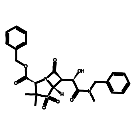 CN(Cc1ccccc1)C(=O)[C@@H](O)[C@@H]1C(=O)N2[C@@H](C(=O)OCc3ccccc3)C(C)(C)S(=O)(=O)[C@H]12